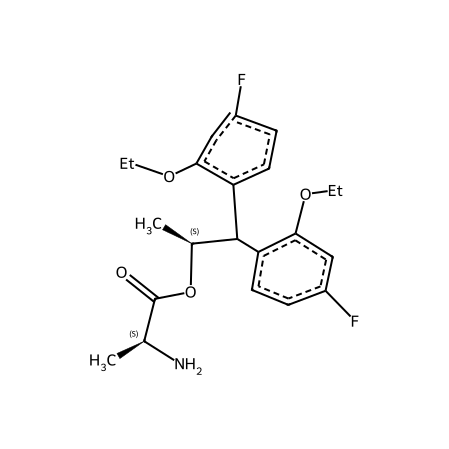 CCOc1cc(F)ccc1C(c1ccc(F)cc1OCC)[C@H](C)OC(=O)[C@H](C)N